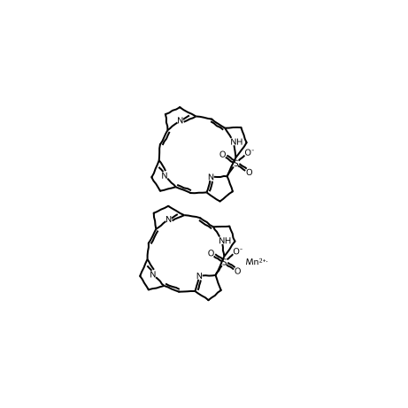 O=S(=O)([O-])C12CCC(=N1)C=C1CCC(=N1)C=C1CCC(=N1)C=C1CCC2N1.O=S(=O)([O-])C12CCC(=N1)C=C1CCC(=N1)C=C1CCC(=N1)C=C1CCC2N1.[Mn+2]